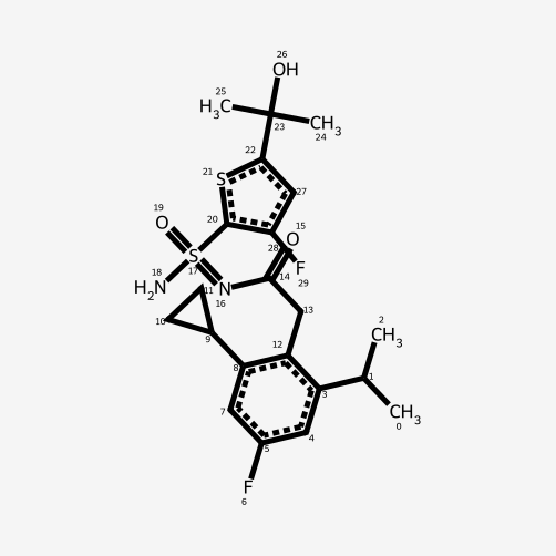 CC(C)c1cc(F)cc(C2CC2)c1CC(=O)N=S(N)(=O)c1sc(C(C)(C)O)cc1F